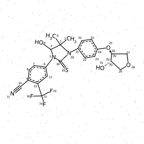 CC1(C)C(O)N(c2ccc(C#N)c(C(F)(F)F)c2)C(=S)N1c1ccc(O[C@H]2COC[C@@H]2O)cc1